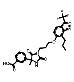 CCCc1c(OCCCN2C(=O)NC(C)(c3cccc(C(=O)O)c3)C2=O)ccc2c(C(F)(F)F)onc12